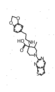 CC1CN(c2ncc3ccsc3n2)CCC1(NCCc1ccc2c(c1)OCO2)C(=O)O